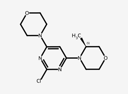 C[C@H]1COCCN1c1cc(N2CCOCC2)nc(Cl)n1